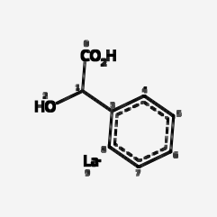 O=C(O)C(O)c1ccccc1.[La]